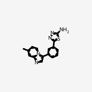 Cc1ccn2c(-c3cccc(-c4nnc(N)s4)c3)cnc2c1